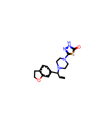 C=CC(c1ccc2c(c1)OCC2)N1CCN(c2n[nH]c(=O)s2)CC1